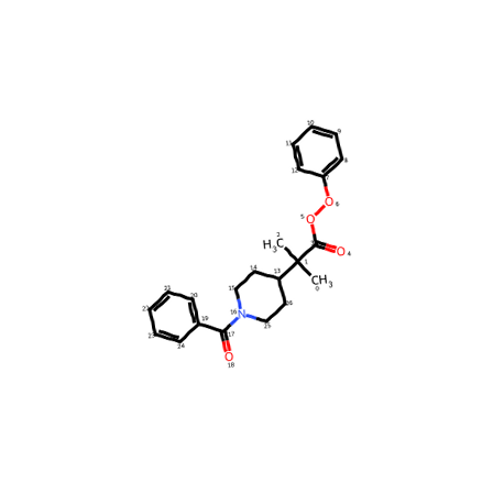 CC(C)(C(=O)OOc1ccccc1)C1CCN(C(=O)c2ccccc2)CC1